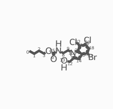 CCCCOC(=O)NCCn1c(CO)cc2c(Br)cc(Cl)c(Cl)c21